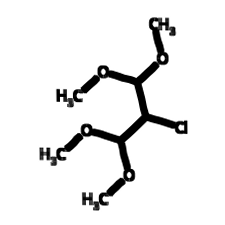 COC(OC)C(Cl)C(OC)OC